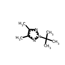 Cc1nn(C(C)(C)C)nc1C